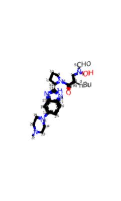 CCCC[C@H](CN(O)C=O)C(=O)N1CCC[C@H]1c1nc2cc(N3CCN(C)CC3)ccc2[nH]1